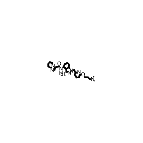 CCc1nn(Cc2cccc(OCCCN(C)C)n2)c2cccc(NC(=O)c3cnc4ccccn34)c12